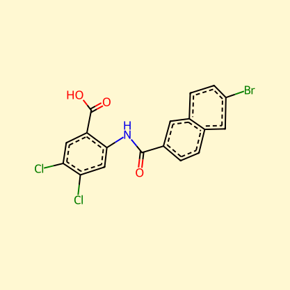 O=C(Nc1cc(Cl)c(Cl)cc1C(=O)O)c1ccc2cc(Br)ccc2c1